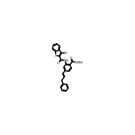 COC(=O)c1ccc(/C=C/Cc2ccccc2)cc1NC(=O)c1sc2ccccc2c1Cl